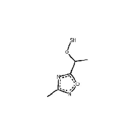 Cc1noc(C(C)OS)n1